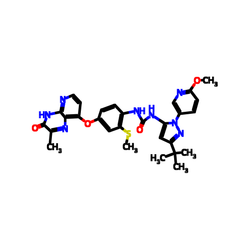 COc1ccc(-n2nc(C(C)(C)C)cc2NC(=O)Nc2ccc(Oc3ccnc4[nH]c(=O)c(C)nc34)cc2SC)cn1